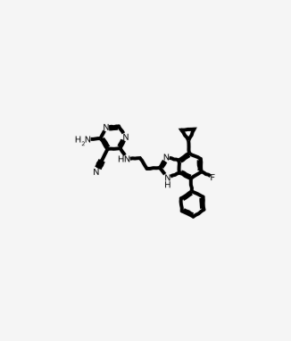 N#Cc1c(N)ncnc1NCCc1nc2c(C3CC3)cc(F)c(-c3ccccc3)c2[nH]1